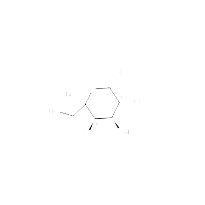 OC[C@@]1(Br)O[C@H](O)[C@H](O)[C@@H](O)[C@H]1O